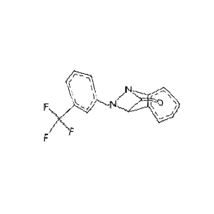 O=C1C2c3ccccc3N1N2c1cccc(C(F)(F)F)c1